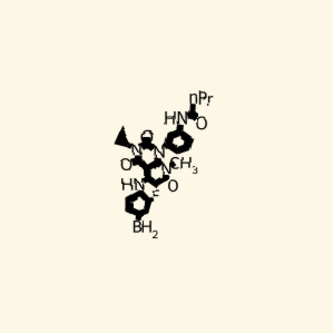 Bc1ccc(Nc2cc(=O)n(C)c3c2c(=O)n(C2CC2)c(=O)n3-c2cccc(NC(=O)CCC)c2)c(F)c1